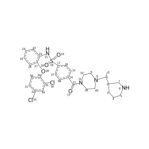 CC(C1CCCNC1)N1CCN(C(=O)c2ccc(S(=O)(=O)Nc3ccccc3Oc3ccc(Cl)cc3Cl)cc2)CC1